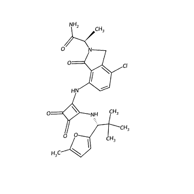 Cc1ccc([C@H](Nc2c(Nc3ccc(Cl)c4c3C(=O)N([C@H](C)C(N)=O)C4)c(=O)c2=O)C(C)(C)C)o1